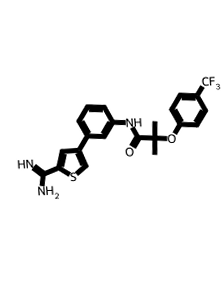 CC(C)(Oc1ccc(C(F)(F)F)cc1)C(=O)Nc1cccc(-c2csc(C(=N)N)c2)c1